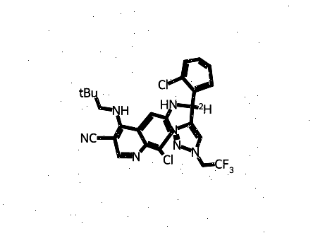 [2H]C(Nc1cc(Cl)c2ncc(C#N)c(NCC(C)(C)C)c2c1)(c1cn(CC(F)(F)F)nn1)c1ccccc1Cl